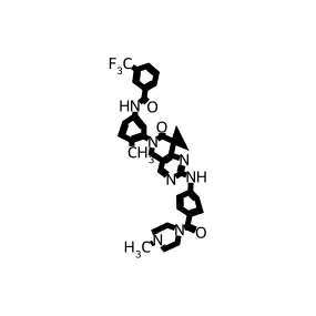 Cc1ccc(NC(=O)c2cccc(C(F)(F)F)c2)cc1N1Cc2cnc(Nc3ccc(C(=O)N4CCN(C)CC4)cc3)nc2C2(CC2)C1=O